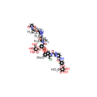 COc1ccc2c(OS(=O)(=O)Oc3cc(C(=O)N(C)CC(C)(C)OC(C)(C)Cn4cc(C(C)(C)OCC(C)(C)CN5C(=O)C=CC5=O)nn4)ccc3O[C@@H]3O[C@H](CO)[C@H](O)[C@H](O)C3=O)cc3c(c2c1)C(CCl)CN3C(=O)c1cn2cc(NC(=O)c3ccc(O[C@@H]4OC(C(=O)O)C(=O)[C@H](O)[C@H]4O)cc3)ccc2n1